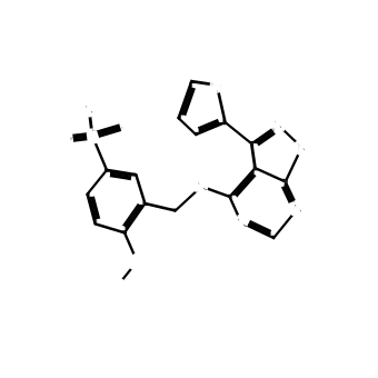 COc1ccc(S(N)(=O)=O)cc1CNc1ncnc2[nH]nc(-c3ccco3)c12